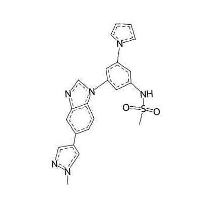 Cn1cc(-c2ccc3c(c2)ncn3-c2cc(NS(C)(=O)=O)cc(-n3cccc3)c2)cn1